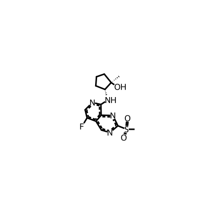 C[C@@]1(O)CCC[C@H]1Nc1ncc(F)c2cnc(S(C)(=O)=O)nc12